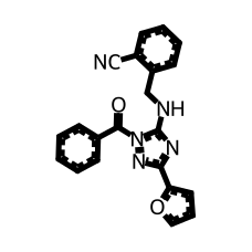 N#Cc1ccccc1CNc1nc(-c2ccco2)nn1C(=O)c1ccccc1